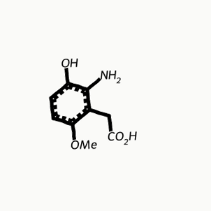 COc1ccc(O)c(N)c1CC(=O)O